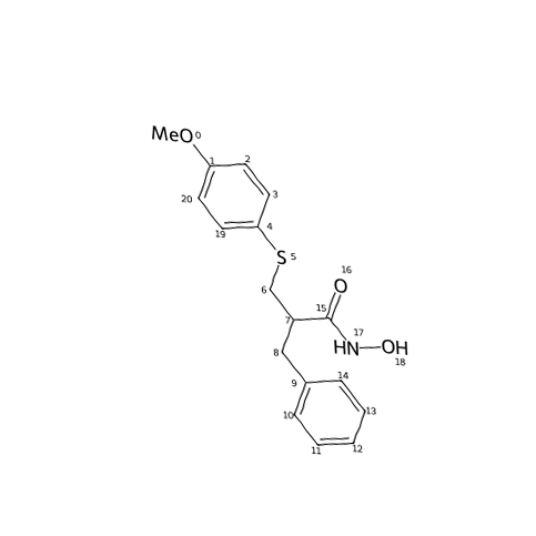 COc1ccc(SCC(Cc2ccccc2)C(=O)NO)cc1